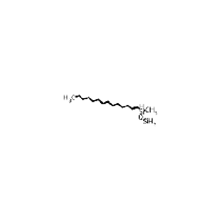 CCCCCCCCCCCCC=C[SiH](C)O[SiH3]